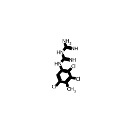 Cc1c(Cl)cc(NC(=N)NC(=N)N)c(Cl)c1Cl